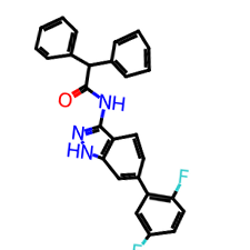 O=C(Nc1n[nH]c2cc(-c3cc(F)ccc3F)ccc12)C(c1ccccc1)c1ccccc1